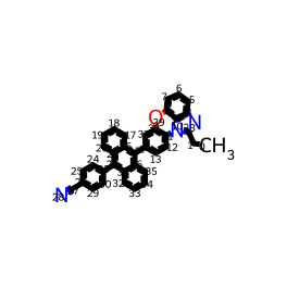 CCc1nc2cccc3c2n1-c1ccc(-c2c4ccccc4c(-c4ccc(C#N)cc4)c4ccccc24)cc1O3